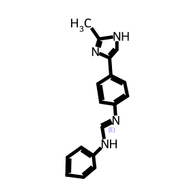 Cc1nc(-c2ccc(/N=C/Nc3ccccc3)cc2)c[nH]1